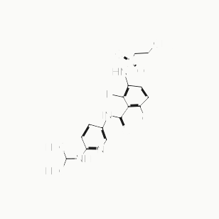 CCCS(=O)(=O)Nc1ccc(Cl)c(C(=O)Nc2ccc(NC(C)C)nc2)c1F